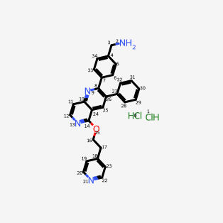 Cl.Cl.NCc1ccc(-c2nc3ccnc(OCCc4ccncc4)c3cc2-c2ccccc2)cc1